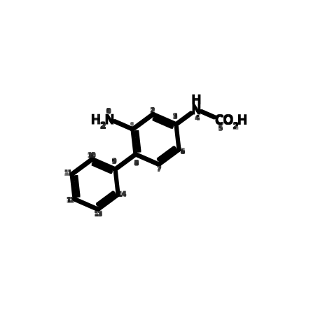 Nc1cc(NC(=O)O)ccc1-c1ccccc1